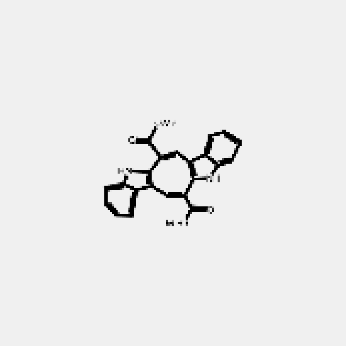 COC(=O)/C1=C/c2c([nH]c3ccccc23)/C(C(=O)OC)=C\c2c1[nH]c1ccccc21